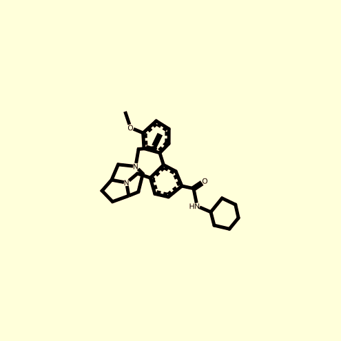 C=CCN1CCC2CCC(C1)N2Cc1ccc(C(=O)NC2CCCCC2)cc1-c1cccc(OC)c1